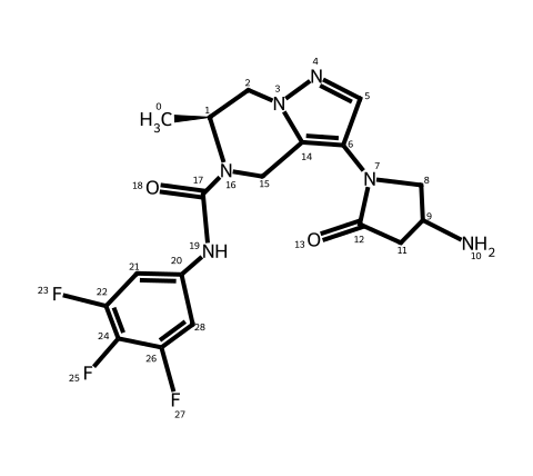 C[C@H]1Cn2ncc(N3CC(N)CC3=O)c2CN1C(=O)Nc1cc(F)c(F)c(F)c1